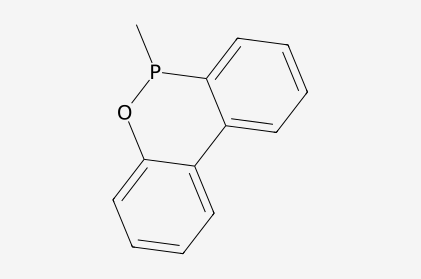 CP1Oc2ccccc2-c2ccccc21